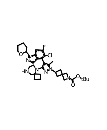 Cc1c(-c2c(Cl)c(F)cc3c2cnn3C2CCCCO2)c(N2CCNCC23CCC3)nn1C1CC2(C1)CN(C(=O)OC(C)(C)C)C2